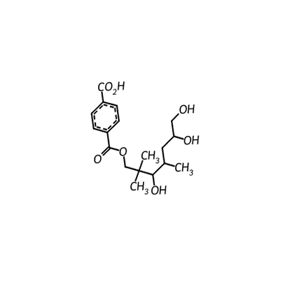 CC(CC(O)CO)C(O)C(C)(C)COC(=O)c1ccc(C(=O)O)cc1